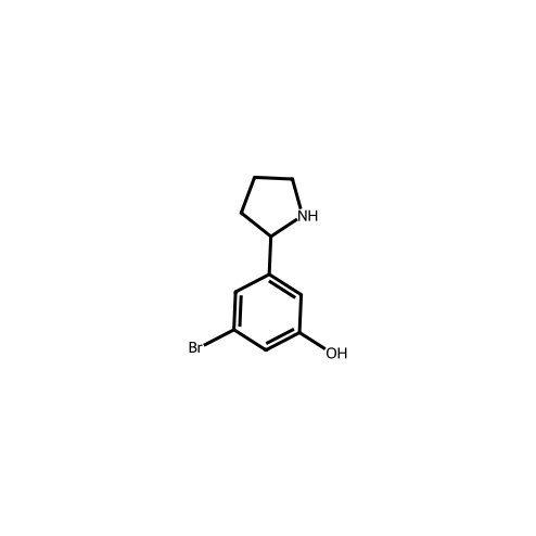 Oc1cc(Br)cc(C2CCCN2)c1